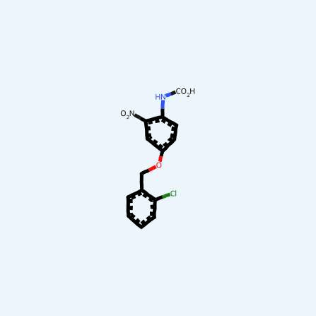 O=C(O)Nc1ccc(OCc2ccccc2Cl)cc1[N+](=O)[O-]